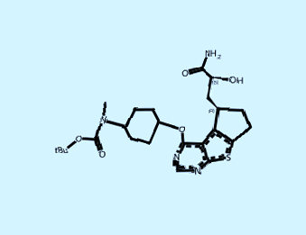 CN(C(=O)OC(C)(C)C)C1CCC(Oc2ncnc3sc4c(c23)[C@@H](C[C@H](O)C(N)=O)CC4)CC1